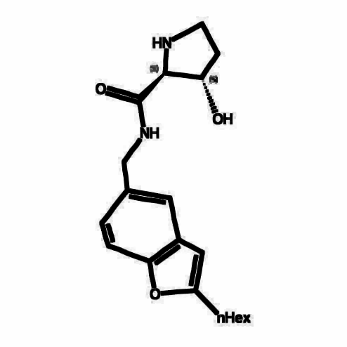 CCCCCCc1cc2cc(CNC(=O)[C@H]3NCC[C@@H]3O)ccc2o1